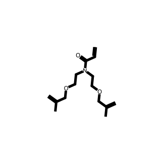 C=CC(=O)N(CCOCC(=C)C)CCOCC(=C)C